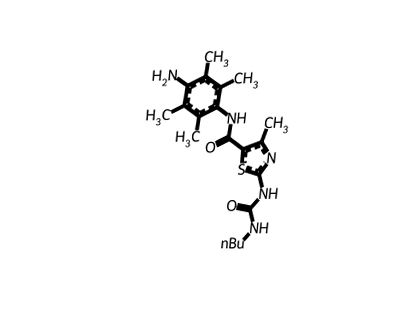 CCCCNC(=O)Nc1nc(C)c(C(=O)Nc2c(C)c(C)c(N)c(C)c2C)s1